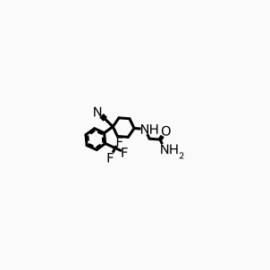 N#CC1(c2ccccc2C(F)(F)F)CCC(NCC(N)=O)CC1